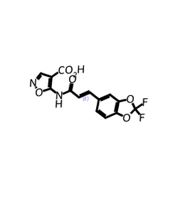 O=C(/C=C/c1ccc2c(c1)OC(F)(F)O2)Nc1oncc1C(=O)O